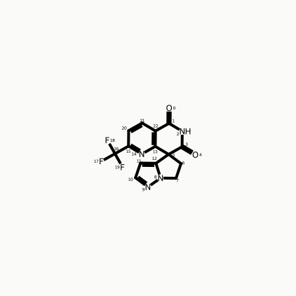 O=C1NC(=O)C2(CCn3nccc32)c2nc(C(F)(F)F)ccc21